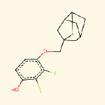 Oc1ccc(OCC23CC4CC(C2)C(C4)C3)c(F)c1F